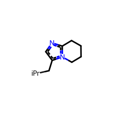 CC(C)Cc1cnc2n1CCCC2